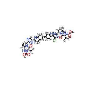 COC(=O)N[C@H](C(=O)N1[C@@H]2CC2C[C@H]1c1ncc(-c2ccc3cc(-c4ccc(-c5[nH]c([C@@H]6CC7C[C@H]7N6C(=O)[C@@H](NC(=O)OC)C(C)C)nc5Cl)cc4)ccc3n2)[nH]1)C(C)C